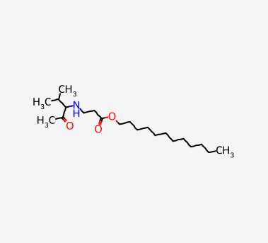 CCCCCCCCCCCCOC(=O)CCNC(C(C)=O)C(C)C